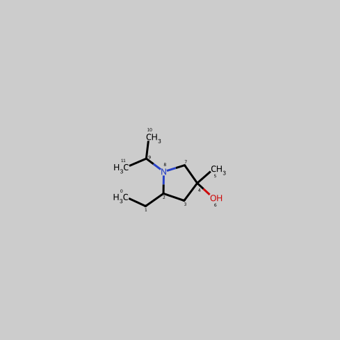 CCC1CC(C)(O)CN1C(C)C